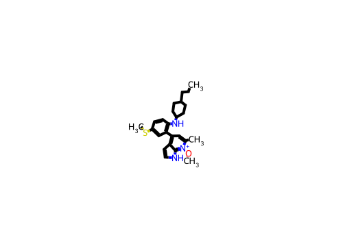 CCCC1CCC(Nc2ccc(SC)cc2-c2cc(C)[n+](OC)c3[nH]ccc23)CC1